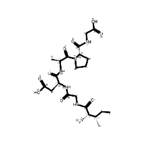 CC[C@H](C)[C@H](N)C(=O)NCC(=O)N[C@@H](CC(=O)O)C(=O)N[C@@H](C)C(=O)N1CCC[C@H]1C(=O)NCC(=O)O